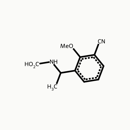 COc1c(C#N)cccc1C(C)NC(=O)O